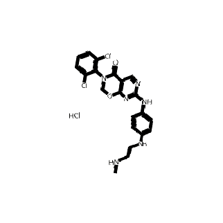 CNCCNc1ccc(Nc2ncc3c(n2)OCN(c2c(Cl)cccc2Cl)C3=O)cc1.Cl